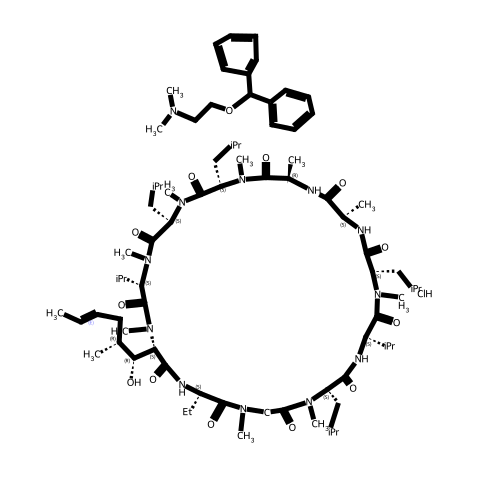 C/C=C/C[C@@H](C)[C@@H](O)[C@H]1C(=O)N[C@@H](CC)C(=O)N(C)CC(=O)N(C)[C@@H](CC(C)C)C(=O)N[C@@H](C(C)C)C(=O)N(C)[C@@H](CC(C)C)C(=O)N[C@@H](C)C(=O)N[C@H](C)C(=O)N(C)[C@@H](CC(C)C)C(=O)N(C)[C@@H](CC(C)C)C(=O)N(C)[C@@H](C(C)C)C(=O)N1C.CN(C)CCOC(c1ccccc1)c1ccccc1.Cl